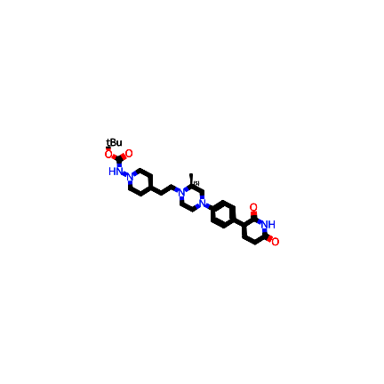 C[C@H]1CN(c2ccc(C3CCC(=O)NC3=O)cc2)CCN1CCC1CCN(NC(=O)OC(C)(C)C)CC1